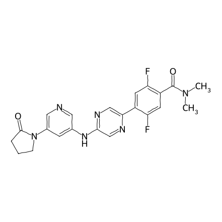 CN(C)C(=O)c1cc(F)c(-c2cnc(Nc3cncc(N4CCCC4=O)c3)cn2)cc1F